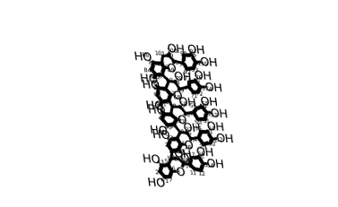 Oc1cc(O)c2c(c1)OC1(c3ccc(O)c(O)c3)Oc3c(cc(O)c4c3OC(c3ccc(O)c(O)c3)C(O)C4c3c(O)cc(O)c4c3OC(c3ccc(O)c(O)c3)C(O)C4c3c(O)cc(O)c4c3OC(c3ccc(O)c(O)c3)C(O)C4c3c(O)cc(O)c4c3OC(c3ccc(O)c(O)c3)C(O)C4)C2C1O